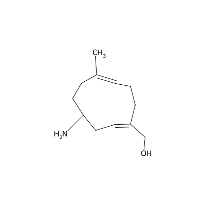 C/C1=C\CC/C(CO)=C/CC(N)CC1